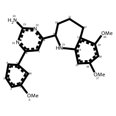 COc1cccc(-c2cc(C3CCCc4c(cc(OC)cc4OC)N3)nc(N)n2)c1